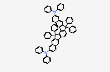 c1ccc(N(c2ccccc2)c2ccc3cc4c(cc3c2)C(c2ccccc2)(c2ccccc2)c2ccc3c(c2-4)C(c2ccccc2)(c2ccccc2)c2cc4cc(N(c5ccccc5)c5ccccc5)ccc4cc2-3)cc1